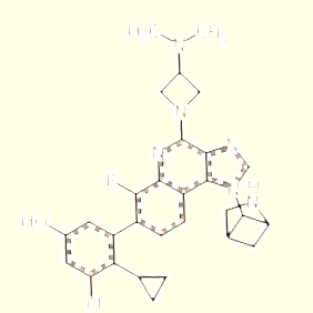 CN(C)C1CN(c2nc3c(F)c(-c4cc(O)cc(Cl)c4C4CC4)ccc3c3c2ncn3C2C3CNC2C3)C1